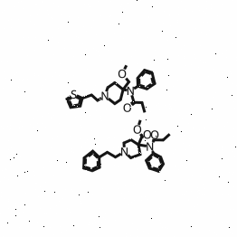 CCC(=O)N(c1ccccc1)C1(C(=O)OC)CCN(CCc2ccccc2)CC1.CCC(=O)N(c1ccccc1)C1(COC)CCN(CCc2cccs2)CC1